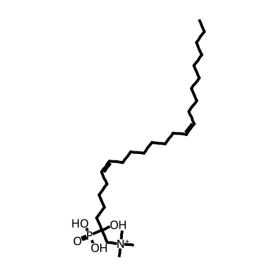 CCCCCCCCC/C=C\CCCCCC/C=C\CCCCC(O)(C[N+](C)(C)C)P(=O)(O)O